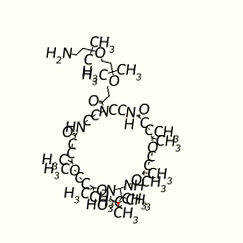 CC(C)C(O)N1OC(C)(C)CCOC(C)(C)CCC(=O)NCCN(C(=O)CCOC(C)(C)CCOC(C)(C)CCN)CCNC(=O)CCC(C)(C)OCCC(C)(C)ONC1C(C)C